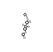 COc1cc(N2C(=O)c3ccc(Oc4cccc(Cl)c4)cc3C2=O)ccc1OCCN1CCCC1